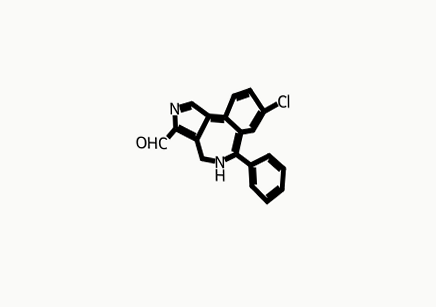 O=CC1=C2CNC(c3ccccc3)=c3cc(Cl)ccc3=C2C=N1